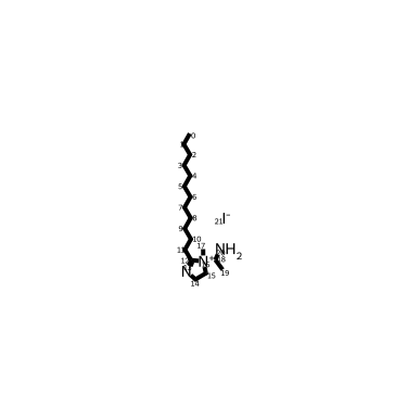 CCCCCCCCCCCCC1=NCC[N+]1(C)C(C)N.[I-]